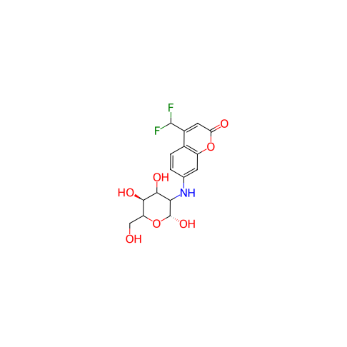 O=c1cc(C(F)F)c2ccc(NC3C(O)[C@H](O)C(CO)O[C@H]3O)cc2o1